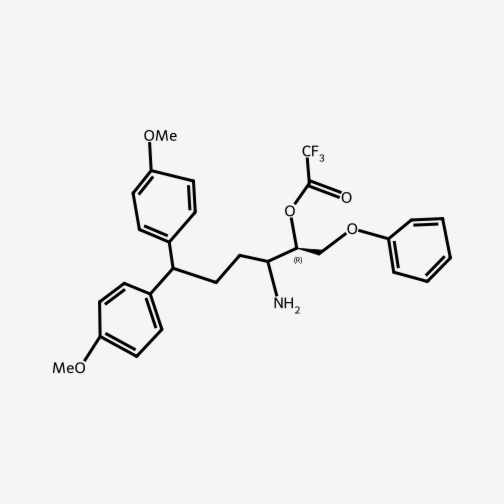 COc1ccc(C(CCC(N)[C@H](COc2ccccc2)OC(=O)C(F)(F)F)c2ccc(OC)cc2)cc1